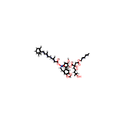 C/C=C/C=C/COC(=O)CC(O)(CCCC(C)(C)O)C(=O)O[C@@H]1C(OC)=C[C@]23CCC(OC(=O)/C=C(C)/C=C/C=C(C)/C=C/C4=C(C)CCCC4(C)C)N2CCc2cc4c(cc2[C@H]13)OCO4